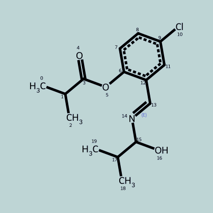 CC(C)C(=O)Oc1ccc(Cl)cc1/C=N/C(O)C(C)C